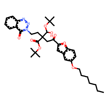 CCCCCCCOc1ccc2oc(C(=O)CC(CCn3nnc4ccccc4c3=O)(C(=O)OC(C)(C)C)C(O)OC(C)(C)C)cc2c1